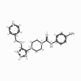 CC(C)c1ccc(NC(=O)N2CCN(c3nsnc3OCc3ccncc3)CC2)cc1